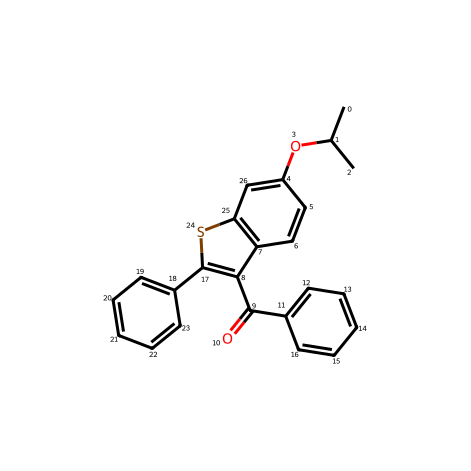 CC(C)Oc1ccc2c(C(=O)c3ccccc3)c(-c3ccccc3)sc2c1